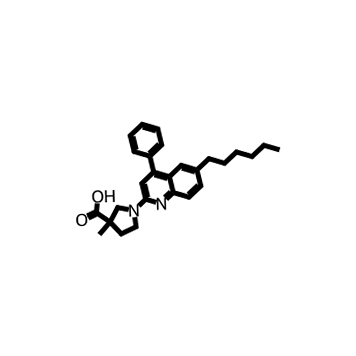 CCCCCCc1ccc2nc(N3CCC(C)(C(=O)O)C3)cc(-c3ccccc3)c2c1